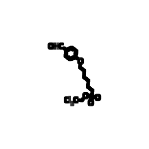 O=Cc1ccc(OCCCCCCS(=O)(=O)OCC(Cl)(Cl)Cl)cc1